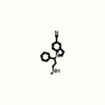 CNCCC(c1ccccc1)n1ccc2cc(C#N)ccc21